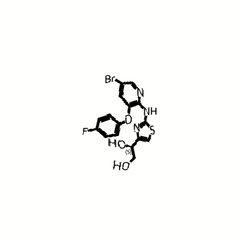 OC[C@@H](O)c1csc(Nc2ncc(Br)cc2Oc2ccc(F)cc2)n1